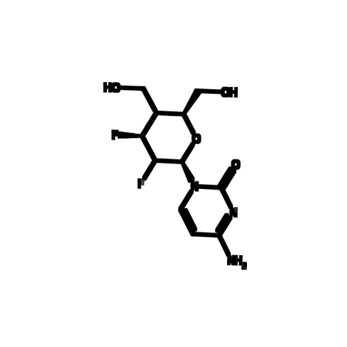 Nc1ccn([C@@H]2O[C@H](CO)C(CO)[C@H](F)C2F)c(=O)n1